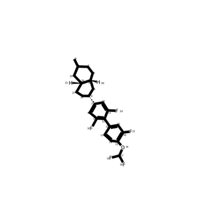 CC1CC[C@@H]2C[C@H](c3cc(F)c(-c4ccc(OC(F)F)c(F)c4)c(F)c3)CC[C@@H]2C1